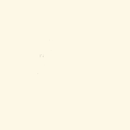 O=C1NC(=O)C(c2cccc(C(F)(F)F)c2)=C1c1ccccc1